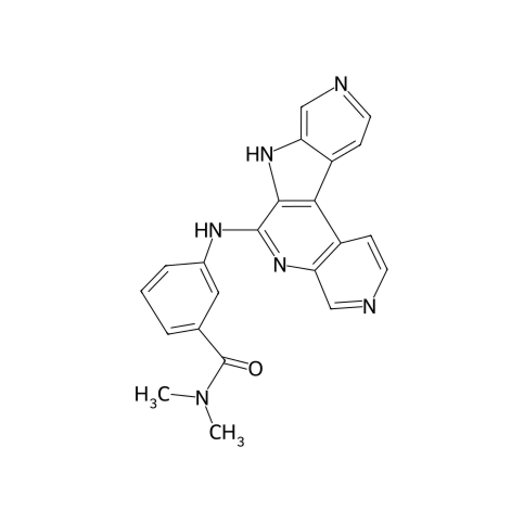 CN(C)C(=O)c1cccc(Nc2nc3cnccc3c3c2[nH]c2cnccc23)c1